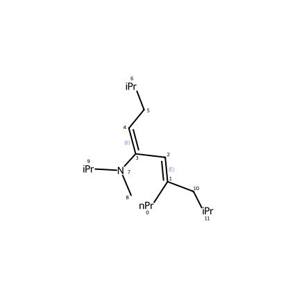 CCC/C(=C\C(=C/CC(C)C)N(C)C(C)C)CC(C)C